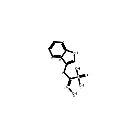 O=P(O)(O)C(Cc1c[nH]c2ccccc12)=NO